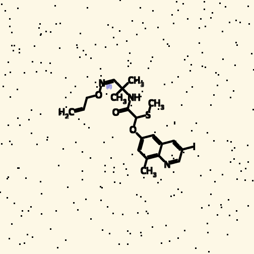 C=CCO/N=C\C(C)(C)NC(=O)C(Oc1cc(C)c2ncc(I)cc2c1)SC